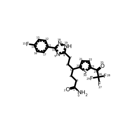 NC(=O)CCC(CCc1nc(-c2ccc(F)cc2)n[nH]1)c1ccc(C(=O)C(F)(F)F)s1